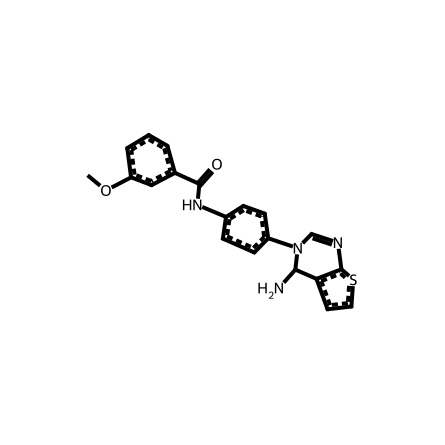 COc1cccc(C(=O)Nc2ccc(N3C=Nc4sccc4C3N)cc2)c1